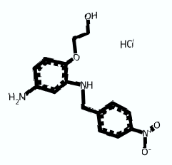 Cl.Nc1ccc(OCCO)c(NCc2ccc([N+](=O)[O-])cc2)c1